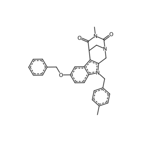 Cc1ccc(Cn2c3c(c4cc(OCc5ccccc5)ccc42)C2CN(C3)C(=O)N(C)C2=O)cc1